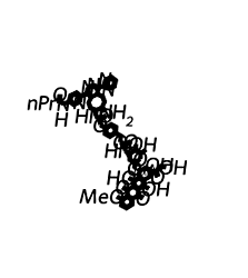 CCCC(=O)Nc1ccc(C2=NN=C(c3ncccn3)C3CCC(N)C(NC(=O)Oc4ccc(COC(=O)NC5CC(O[C@H]6C[C@](O)(C(=O)CO)Cc7c(O)c8c(c(O)c76)C(=O)c6c(OC)cccc6C8=O)OC(C)C5O)cc4)CCC23)nc1